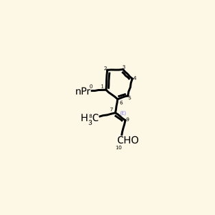 CCCc1ccccc1/C(C)=C/C=O